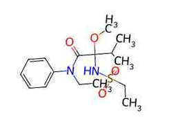 CCN(C(=O)C(NS(=O)(=O)CC)(OC)C(C)C)c1ccccc1